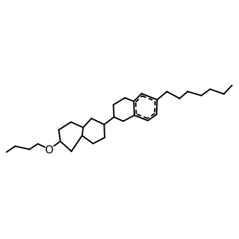 CCCCCCCc1ccc2c(c1)CCC(C1CCC3CC(OCCCC)CCC3C1)C2